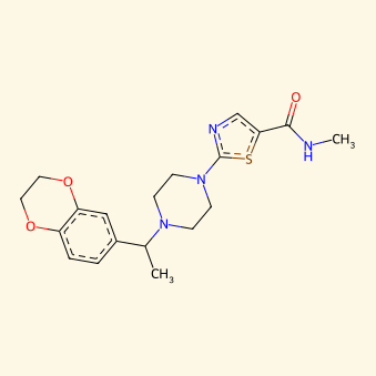 CNC(=O)c1cnc(N2CCN(C(C)c3ccc4c(c3)OCCO4)CC2)s1